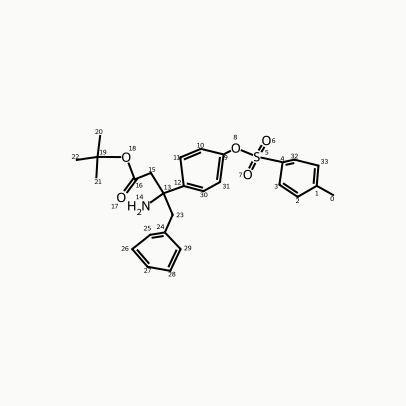 Cc1ccc(S(=O)(=O)Oc2ccc(C(N)(CC(=O)OC(C)(C)C)Cc3ccccc3)cc2)cc1